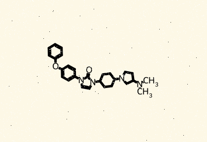 CN(C)C1CCN(C2CCC(n3ccn(-c4ccc(Oc5ccccc5)cc4)c3=O)CC2)C1